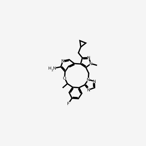 CC1Oc2cc(cnc2N)-c2c(CC3CC3)nn(C)c2Cn2ncnc2-c2ccc(F)cc21